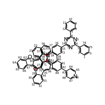 c1ccc(-c2nc(-c3ccccc3)nc(-c3ccc(-n4c5ccccc5c5c6oc7ccccc7c6ccc54)c(-c4cc(-c5ccncc5)ccc4-n4c5ccccc5c5c6oc7ccccc7c6ccc54)c3)n2)cc1